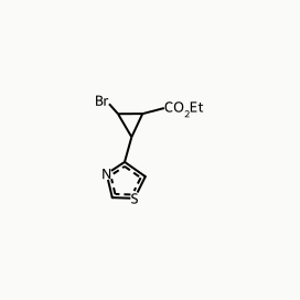 CCOC(=O)C1C(Br)C1c1cscn1